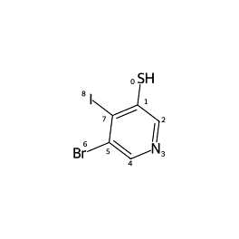 Sc1cncc(Br)c1I